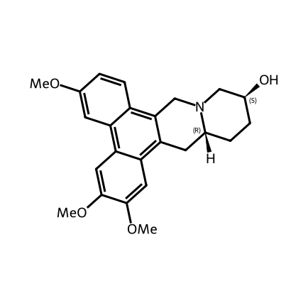 COc1ccc2c3c(c4cc(OC)c(OC)cc4c2c1)C[C@H]1CC[C@H](O)CN1C3